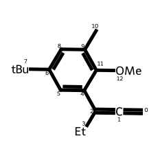 C=C=C(CC)c1cc(C(C)(C)C)cc(C)c1OC